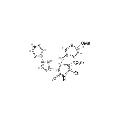 CCOC(=O)c1c(CC)[nH]c(=O)c(-c2csc(-c3ccncc3)n2)c1Cc1ccc(OC)cc1